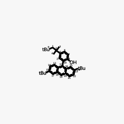 CC(C)(C)CC(C)(C)c1ccc(O)c(-c2c3ccc(C(C)(C)C)cc3cc3ccc(C(C)(C)C)cc23)c1